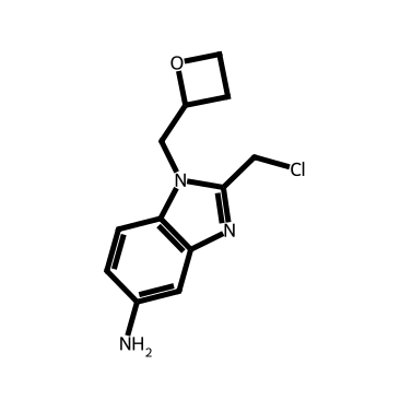 Nc1ccc2c(c1)nc(CCl)n2CC1CCO1